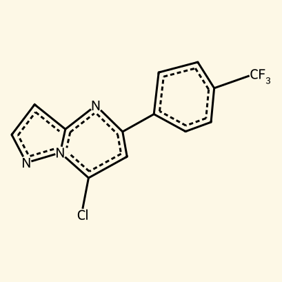 FC(F)(F)c1ccc(-c2cc(Cl)n3nccc3n2)cc1